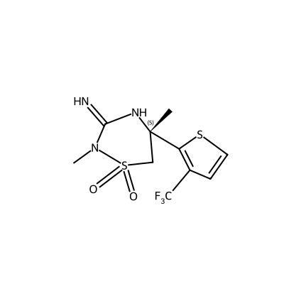 CN1C(=N)N[C@](C)(c2sccc2C(F)(F)F)CS1(=O)=O